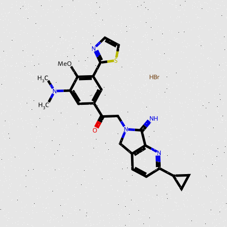 Br.COc1c(-c2nccs2)cc(C(=O)CN2Cc3ccc(C4CC4)nc3C2=N)cc1N(C)C